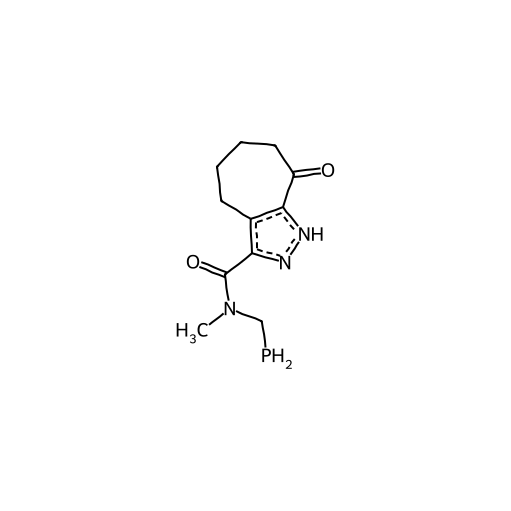 CN(CP)C(=O)c1n[nH]c2c1CCCCC2=O